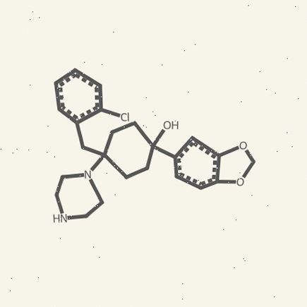 OC1(c2ccc3c(c2)OCO3)CCC(Cc2ccccc2Cl)(N2CCNCC2)CC1